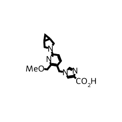 COCc1nc(N2CC3CC3C2)ccc1Cn1cnc(C(=O)O)c1